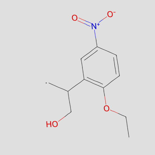 [CH2]C(CO)c1cc([N+](=O)[O-])ccc1OCC